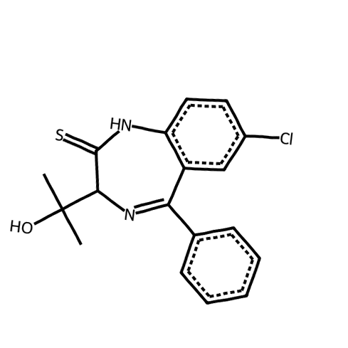 CC(C)(O)C1N=C(c2ccccc2)c2cc(Cl)ccc2NC1=S